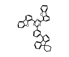 c1cc(-c2nc(-c3cccc4c3oc3ccccc34)nc(-c3cccc4c3oc3ccccc34)n2)cc(-c2cccc3c2-c2ccccc2C32CCCCC2)c1